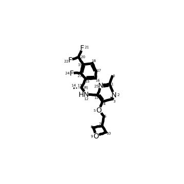 Cc1ncc(OCC2COC2)c(N[C@H](C)c2cccc(C(F)F)c2F)n1